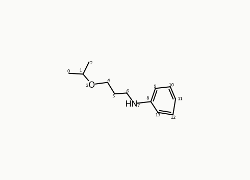 CC(C)OCCCNc1ccccc1